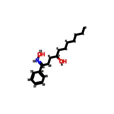 CCCCCCCC(O)CCC(=NO)c1ccccc1